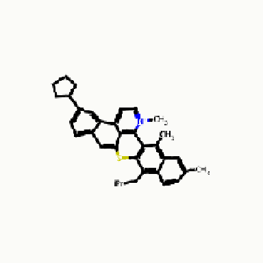 Cc1ccc2c(CC(C)C)c3c(c(C)c2c1)-c1c2c(cc4ccc(C5CCCC5)cc4c2cc[n+]1C)S3